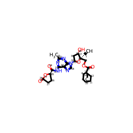 C#C[C@]1(COC(=O)C23CCC(CC2)CC3)O[C@@H](n2cnc3c(NC(=O)[C@H]4CCC(=O)O4)nc(C)nc32)C[C@@H]1O